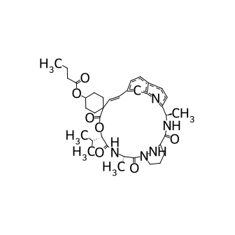 CCCC(=O)OC1CCC2(/C=C/c3ccc4ccc(nc4c3)[C@@H](C)NC(=O)C3CCCN(N3)C(=O)[C@H](C)NC(=O)[C@H](C(C)C)OC2=O)CC1